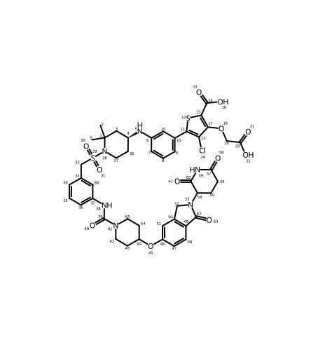 CC1(C)C[C@@H](Nc2cccc(-c3sc(C(=O)O)c(OCC(=O)O)c3Cl)c2)CCN1S(=O)(=O)Cc1cccc(NC(=O)N2CCC(Oc3ccc4c(c3)CN(C3CCC(=O)NC3=O)C4=O)CC2)c1